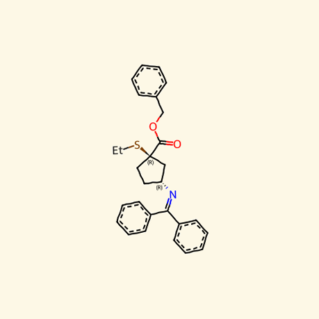 CCS[C@]1(C(=O)OCc2ccccc2)CC[C@@H](N=C(c2ccccc2)c2ccccc2)C1